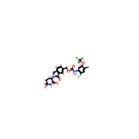 Cc1cc(F)c(NC(=O)OCc2ccc3c(c2)C(=O)N(C2CCC(=O)NC2=O)C3)cc1OC(F)(F)F